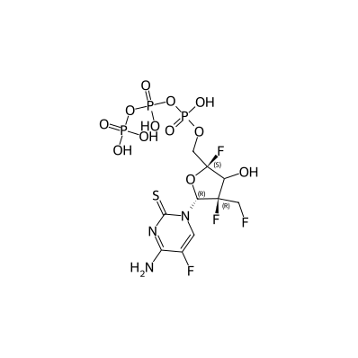 Nc1nc(=S)n([C@@H]2O[C@](F)(COP(=O)(O)OP(=O)(O)OP(=O)(O)O)C(O)[C@]2(F)CF)cc1F